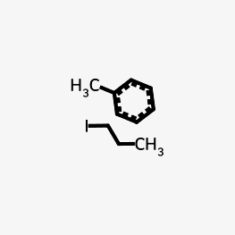 CCCI.Cc1ccccc1